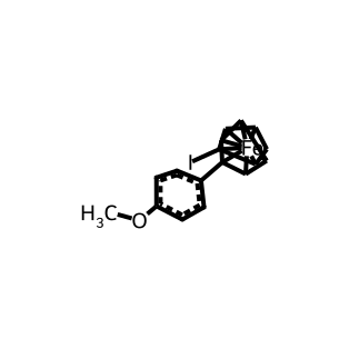 COc1ccc([C]23[CH]4[CH]5[CH]6[CH]2[Fe]56432789[CH]3[CH]2[CH]7[C]8(I)[CH]39)cc1